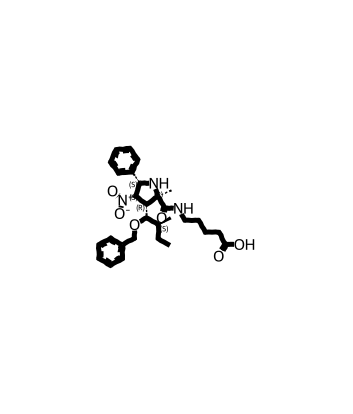 CC[C@H](C)C(OCc1ccccc1)[C@@H]1[C@H]([N+](=O)[O-])[C@H](c2ccccc2)N[C@@]1(C)C(=O)NCCCCC(=O)O